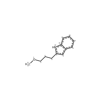 COCCCc1cc2c[c]ccc2[nH]1